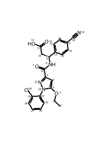 CCOc1cc(C(=O)N[C@@H](CC(=O)O)c2ccc(C#N)cc2)nn1-c1ccccc1Cl